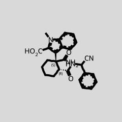 Cn1c(C(=O)O)c([C@]2(C(N)=O)CCCC[C@H]2C(=O)NC(C#N)c2ccccc2)c2ccccc21